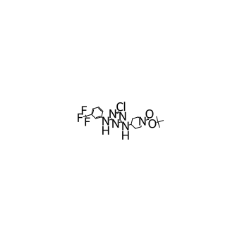 CC(C)(C)OC(=O)N1CCC(Nc2nc(Cl)nc(Nc3cccc(C(F)(F)F)c3)n2)CC1